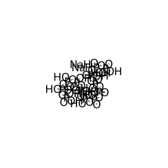 O=P(O)(O)OP(=O)(O)OP(=O)(O)OP(=O)(O)OP(=O)(O)OP(=O)(O)OP(=O)(O)OP(=O)(O)OP(=O)(O)OP(=O)(O)OP(=O)(O)OP(=O)(O)O.[NaH].[NaH]